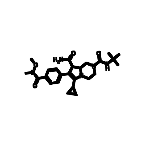 CON(C)C(=O)c1ccc(C2=C(C3CC3)N3CCN(C(=O)NC(C)(C)C)CC3C2C(N)=O)cc1